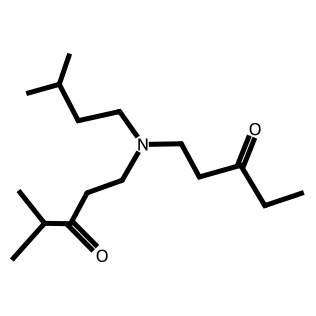 CCC(=O)CCN(CCC(=O)C(C)C)CCC(C)C